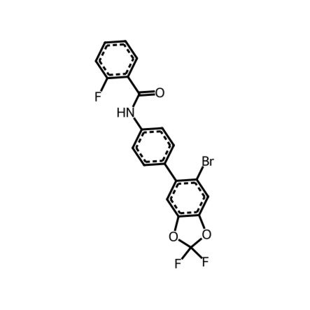 O=C(Nc1ccc(-c2cc3c(cc2Br)OC(F)(F)O3)cc1)c1ccccc1F